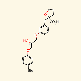 CC(C)(C)c1ccc(OC[C@@H](O)COc2cccc(CC3(C(=O)O)CCCO3)c2)cc1